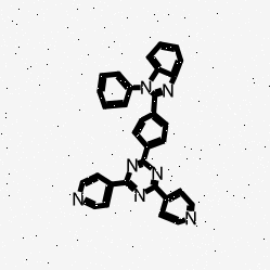 c1ccc(-n2c(-c3ccc(-c4nc(-c5ccncc5)nc(-c5ccncc5)n4)cc3)nc3ccccc32)cc1